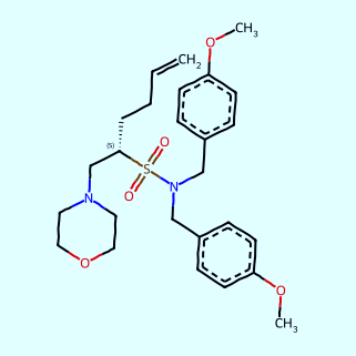 C=CCC[C@@H](CN1CCOCC1)S(=O)(=O)N(Cc1ccc(OC)cc1)Cc1ccc(OC)cc1